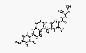 CCc1cc(NC2=NC=CC3CC(c4ccc(OC)c(F)c4F)=CN=C23)ccc1C(=O)CCC(O)CO